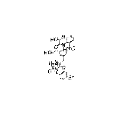 CC(=O)N(Cc1ccc(Br)cc1)C(=O)[C@@H](N)Cc1ccc(N(C(=O)C(=O)O)c2ccccc2C(=O)O)c(CCO)c1